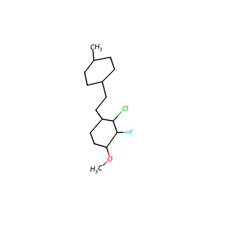 COC1CCC(CCC2CCC(C)CC2)C(Cl)C1F